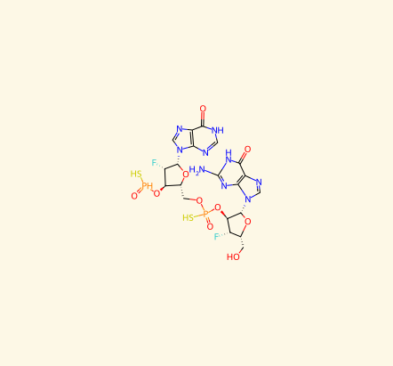 Nc1nc2c(ncn2[C@@H]2O[C@H](CO)[C@H](F)[C@H]2OP(=O)(S)OC[C@H]2O[C@@H](n3cnc4c(=O)[nH]cnc43)[C@@H](F)[C@@H]2O[PH](=O)S)c(=O)[nH]1